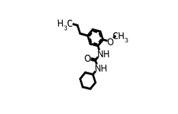 CCCc1ccc(OC)c(NC(=O)NC2CCCCC2)c1